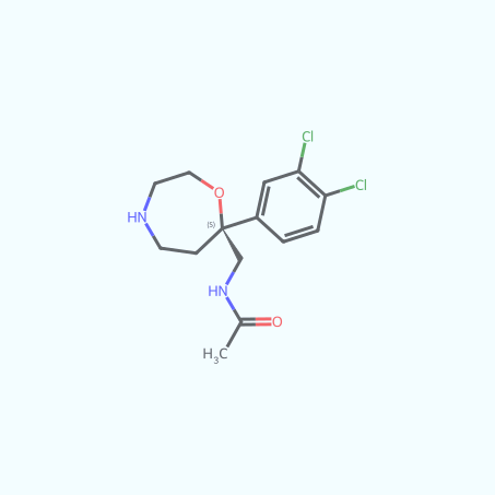 CC(=O)NC[C@@]1(c2ccc(Cl)c(Cl)c2)CCNCCO1